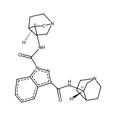 O=C(N[C@@H]1CN2CCC1CC2)c1nn(C(=O)N[C@@H]2CN3CCC2CC3)c2ccccc12